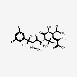 CN[C@@H](C(=O)N[C@H](C(=O)N(C)[C@H](/C=C(\C)C(=O)O)C(C)C)C(C)(C)C)C(C)(C)c1cc(F)cc(F)c1